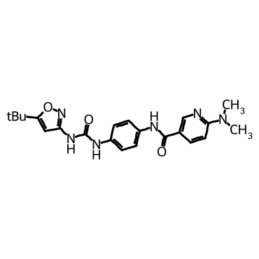 CN(C)c1ccc(C(=O)Nc2ccc(NC(=O)Nc3cc(C(C)(C)C)on3)cc2)cn1